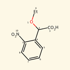 CCOC(C(=O)O)c1ccccc1[N+](=O)[O-]